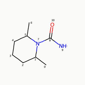 CC1CCCC(C)N1C([NH])=O